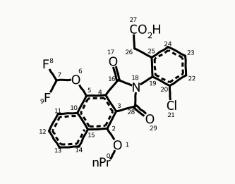 CCCOc1c2c(c(OC(F)F)c3ccccc13)C(=O)N(c1c(Cl)cccc1CC(=O)O)C2=O